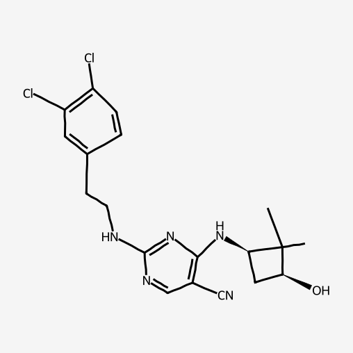 CC1(C)[C@@H](O)C[C@H]1Nc1nc(NCCc2ccc(Cl)c(Cl)c2)ncc1C#N